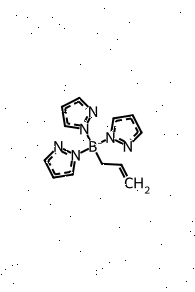 C=CC[B-](n1cccn1)(n1cccn1)n1cccn1